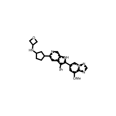 COc1cc(-c2[nH]c3cnc(C4CCC(NC5COC5)C4)cc3c2C(C)C)cn2ncnc12